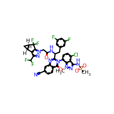 Cn1nc(NS(C)(=O)=O)c2c(Cl)ccc(-n3c(C(Cc4cc(F)cc(F)c4)NC(=O)Cn4nc(C(F)F)c5c4C(F)(F)[C@@H]4C[C@H]54)nc4cc(C#N)ccc4c3=O)c21